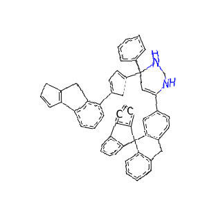 C1=CC2=C(C1)Cc1c(C3=CC=C(C4(c5ccccc5)C=C(c5ccc6c(c5)C5(c7ccccc7C6)c6ccccc6-c6ccccc65)NCN4)C3)cccc12